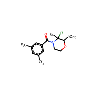 CCCCCCCCC1OCCN(C(=O)c2cc(C(F)(F)F)cc(C(F)(F)F)c2)C1(Cl)CC